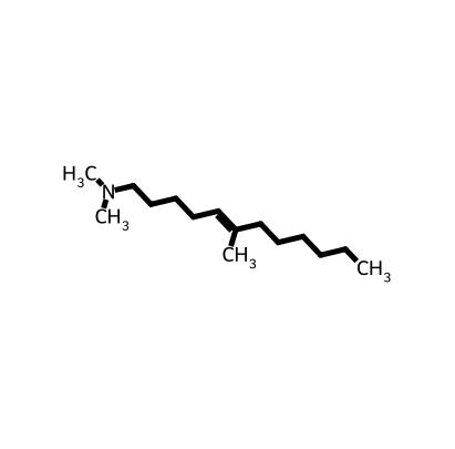 CCCCCC/C(C)=C/CCCCN(C)C